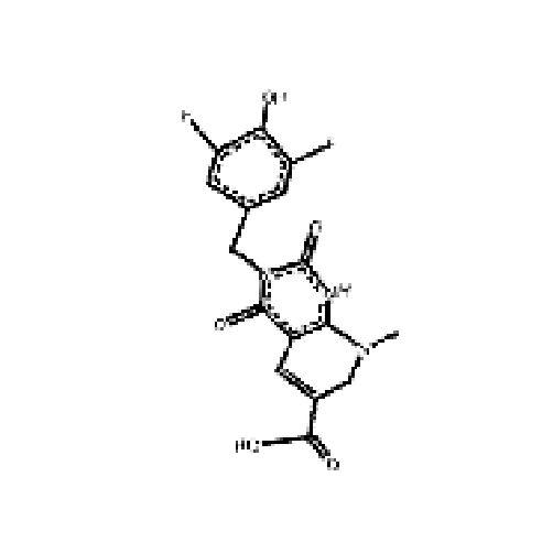 CN1CC(C(=O)O)=Cc2c1[nH]c(=O)n(Cc1cc(F)c(O)c(F)c1)c2=O